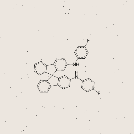 Fc1ccc(Nc2ccc3c(c2)C2(c4ccccc4-3)c3ccccc3-c3ccc(Nc4ccc(F)cc4)cc32)cc1